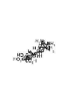 NC(=O)CN1CCN(CC(N)=O)CCN(CC(N)O)C(Cc2ccc(NC(=S)NCc3ccc(C(=O)N(CCCC[C@@H](NC(=O)N[C@H](CCC(=O)O)C(=O)O)C(=O)O)Cc4ccc(I)cc4)cc3)cc2)CN(CC(N)=O)CC1